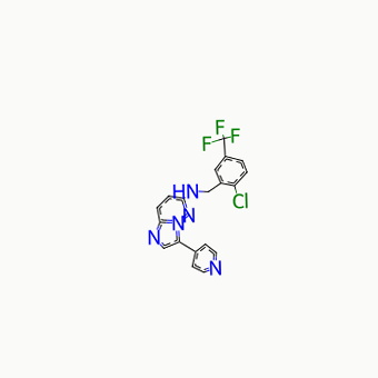 FC(F)(F)c1ccc(Cl)c(CNc2ccc3ncc(-c4ccncc4)n3n2)c1